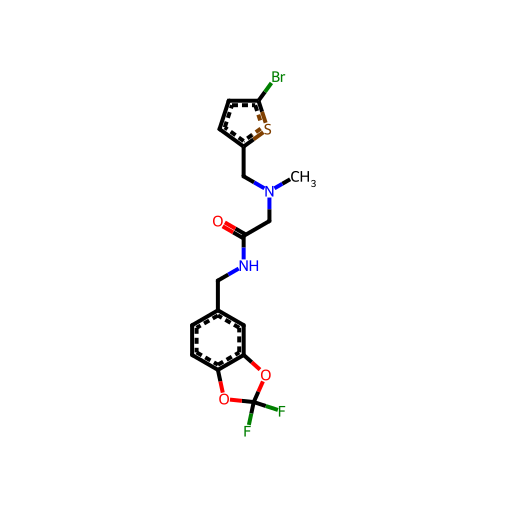 CN(CC(=O)NCc1ccc2c(c1)OC(F)(F)O2)Cc1ccc(Br)s1